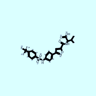 CC(C)C(NC(=O)c1cc(-c2ccc(NS(=O)(=O)c3ccc(C(F)(F)F)cc3)cc2)no1)C(=O)O